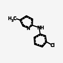 Cc1ccc(Nc2cccc(Cl)c2)nc1